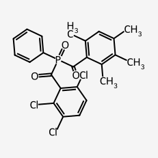 Cc1cc(C)c(C(=O)P(=O)(C(=O)c2c(Cl)ccc(Cl)c2Cl)c2ccccc2)c(C)c1C